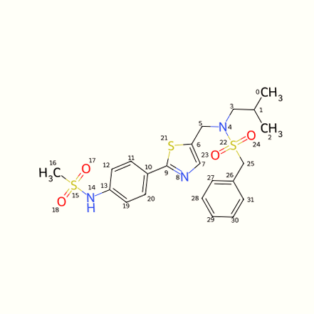 CC(C)CN(Cc1cnc(-c2ccc(NS(C)(=O)=O)cc2)s1)S(=O)(=O)Cc1ccccc1